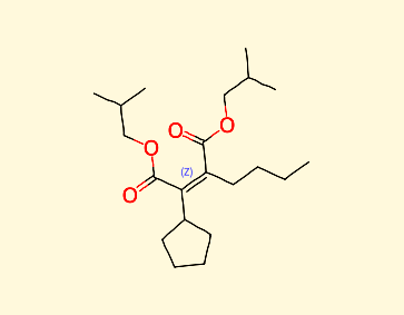 CCCC/C(C(=O)OCC(C)C)=C(/C(=O)OCC(C)C)C1CCCC1